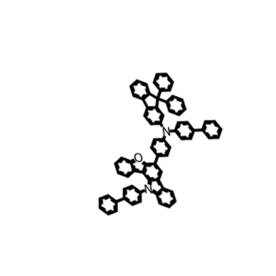 c1ccc(-c2ccc(N(c3ccc(-c4cc5c6ccccc6n(-c6ccc(-c7ccccc7)cc6)c5c5c4oc4ccccc45)cc3)c3ccc4c(c3)C(c3ccccc3)(c3ccccc3)c3ccccc3-4)cc2)cc1